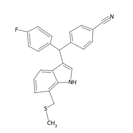 CSCc1cccc2c(C(c3ccc(F)cc3)c3ccc(C#N)cc3)c[nH]c12